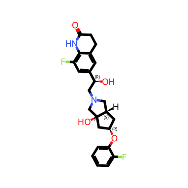 O=C1CCc2cc([C@@H](O)CN3C[C@@H]4C[C@@H](Oc5ccccc5F)C[C@]4(O)C3)cc(F)c2N1